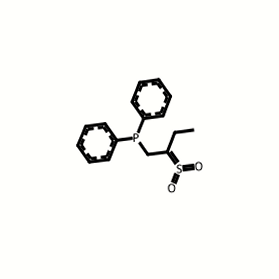 CCC(CP(c1ccccc1)c1ccccc1)=S(=O)=O